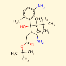 Cc1ccc(N)cc1C(O)(C(CN)CC(=O)OC(C)(C)C)[Si](C)(C)C(C)(C)C